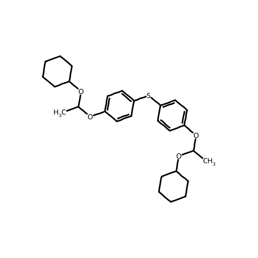 CC(Oc1ccc(Sc2ccc(OC(C)OC3CCCCC3)cc2)cc1)OC1CCCCC1